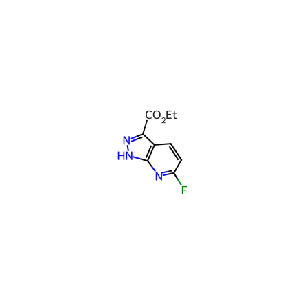 CCOC(=O)c1n[nH]c2nc(F)ccc12